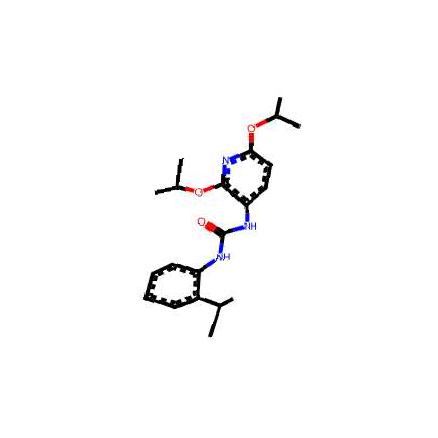 CC(C)Oc1ccc(NC(=O)Nc2ccccc2C(C)C)c(OC(C)C)n1